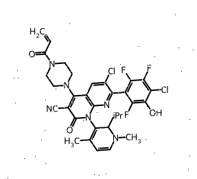 C=CC(=O)N1CCN(c2c(C#N)c(=O)n(C3=C(C)C=CN(C)C3C(C)C)c3nc(-c4c(F)c(O)c(Cl)c(F)c4F)c(Cl)cc23)CC1